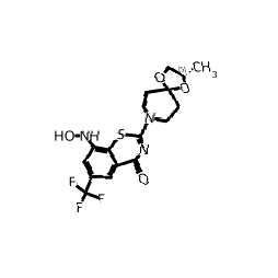 C[C@H]1COC2(CCN(c3nc(=O)c4cc(C(F)(F)F)cc(NO)c4s3)CC2)O1